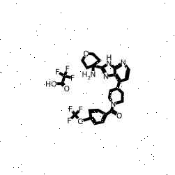 NC1(c2nc3c(C4CCN(C(=O)c5ccc(OC(F)(F)F)cc5)CC4)ccnc3[nH]2)CCOCC1.O=C(O)C(F)(F)F